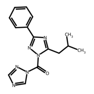 CC(C)Cc1nc(-c2ccccc2)nn1C(=O)n1cncn1